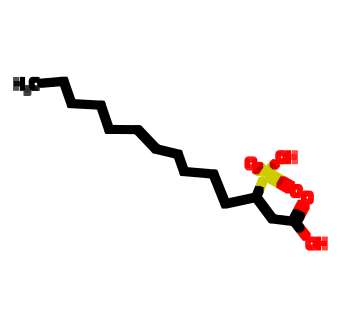 CCCCCCCCCCCC(CC(=O)O)S(=O)(=O)O